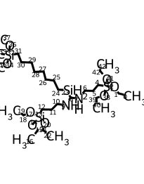 CCO[Si](CCCNC(NCCC[Si](OCC)(OCC)OCC)[SiH2]CCCCCCCC[Si](C)(OC)OC)(OCC)OCC